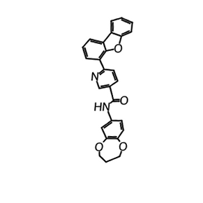 O=C(Nc1ccc2c(c1)OCCCO2)c1ccc(-c2cccc3c2oc2ccccc23)nc1